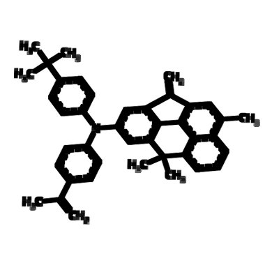 C=C(C)c1ccc(N(c2ccc(C(C)(C)C)cc2)c2cc3c4c(c2)C(C)(C)c2cccc5c(C)cc(c-4c25)C3=C)cc1